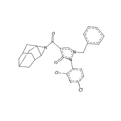 O=C(c1cn(Cc2ccccc2)n(-c2ccc(Cl)cc2Cl)c1=O)N1C2C3CC4CC(C3)CC21C4